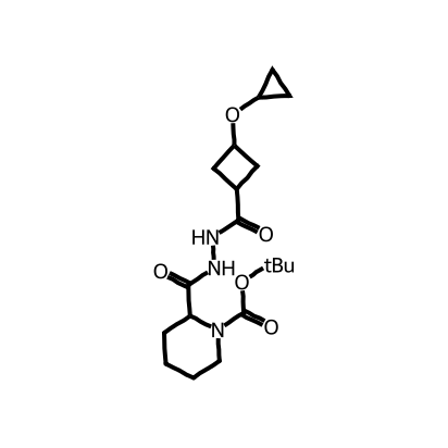 CC(C)(C)OC(=O)N1CCCCC1C(=O)NNC(=O)C1CC(OC2CC2)C1